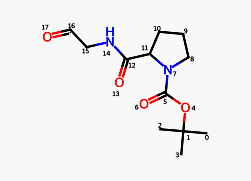 CC(C)(C)OC(=O)N1CCCC1C(=O)NC[C]=O